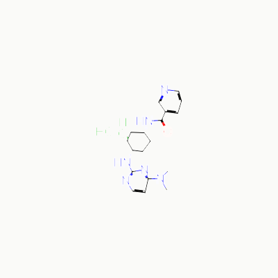 CN(C)c1ccnc(N[C@H]2CC[C@@H](NC(=O)c3cccnc3)CC2)n1.Cl.Cl